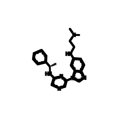 C[C@H](Nc1cncc(-n2cnc3ccc(NCCN(C)C)cc32)n1)c1ccccc1